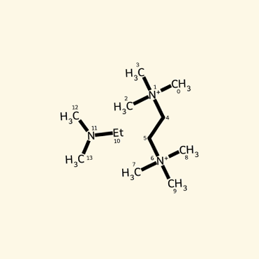 C[N+](C)(C)CC[N+](C)(C)C.[CH2]CN(C)C